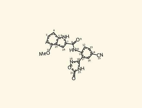 COc1cccc2[nH]c(C(=O)Nc3ccc(C#N)cc3-c3noc(=O)[nH]3)cc12